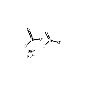 [Ba+2].[O]=[Ti]([O-])[O-].[O]=[Ti]([O-])[O-].[Pb+2]